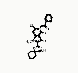 C#CC1(NC(=O)c2c(CC)c3c(=O)n(CC(=O)c4ccccc4)c(CC)cc3n2C)CCCCC1